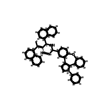 C/C(=C\C(NC(N=N)c1ccc2c(c1)-c1ccn(-c3ccccc3)c1-c1ccccc1O2)c1cccc2ccccc12)c1cccc2ccccc12